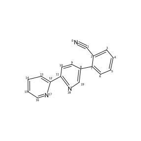 N#Cc1ccccc1-c1ccc(-c2ccccn2)nc1